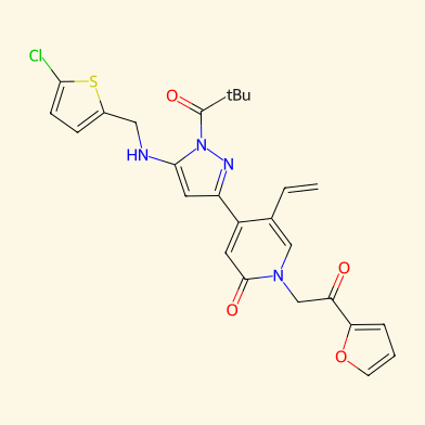 C=Cc1cn(CC(=O)c2ccco2)c(=O)cc1-c1cc(NCc2ccc(Cl)s2)n(C(=O)C(C)(C)C)n1